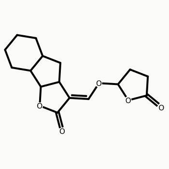 O=C1CCC(O/C=C2/C(=O)OC3C2CC2CCCCC23)O1